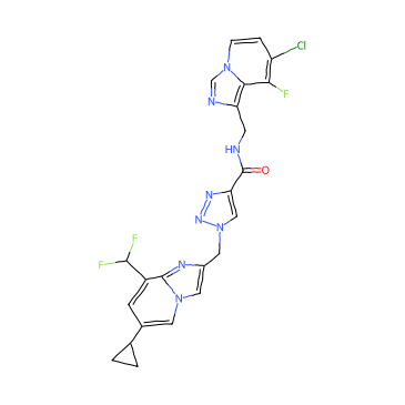 O=C(NCc1ncn2ccc(Cl)c(F)c12)c1cn(Cc2cn3cc(C4CC4)cc(C(F)F)c3n2)nn1